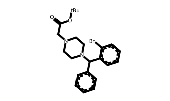 CC(C)(C)OC(=O)CN1CCN(C(c2ccccc2)c2ccccc2Br)CC1